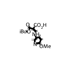 CCC(C)OC(=O)C(=CNc1ccc(OC)nc1)C(=O)O